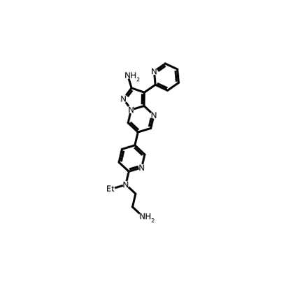 CCN(CCN)c1ccc(-c2cnc3c(-c4ccccn4)c(N)nn3c2)cn1